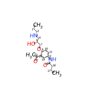 CCCNCC(O)COc1ccc(NC(=O)CCC)cc1C(C)=O